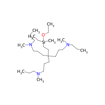 CCCN(C)CCCC(CCCN(C)CCC)(CCCN(C)CCC)CC[Si](C)(CC)OCC